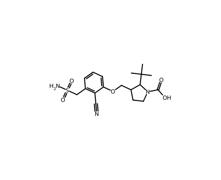 CC(C)(C)C1C(COc2cccc(CS(N)(=O)=O)c2C#N)CCN1C(=O)O